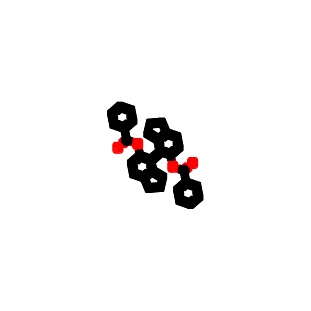 O=C(Oc1ccc2c(c1=c1c(OC(=O)c3ccccc3)ccc3c1=CC=C3)=CC=C2)c1ccccc1